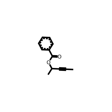 CC#CC(C)OC(=O)c1ccccc1